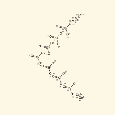 O=[Si]([O-])[O-].O=[Si]([O-])[O-].O=[Si]([O-])[O-].O=[Si]([O-])[O-].O=[Si]([O-])[O-].O=[Si]([O-])[O-].O=[Si]([O-])[O-].[Al+3].[Ca+2].[Fe+3].[Ge+4].[Mg+2]